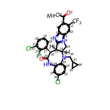 COC(=O)c1cc2nc3n(c2cc1C(F)(F)F)C[C@H]1[C@@H]3[C@H](c2cccc(Cl)c2F)C(=O)Nc2cc(Cl)ccc2N1CC1CC1